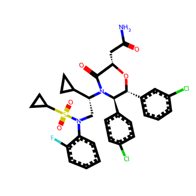 NC(=O)C[C@@H]1O[C@H](c2cccc(Cl)c2)[C@@H](c2ccc(Cl)cc2)N([C@H](CN(c2ccccc2F)S(=O)(=O)C2CC2)C2CC2)C1=O